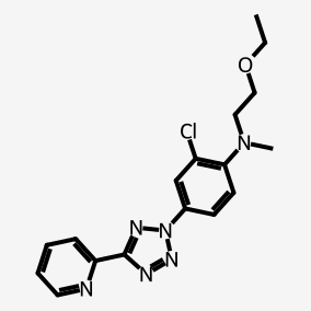 CCOCCN(C)c1ccc(-n2nnc(-c3ccccn3)n2)cc1Cl